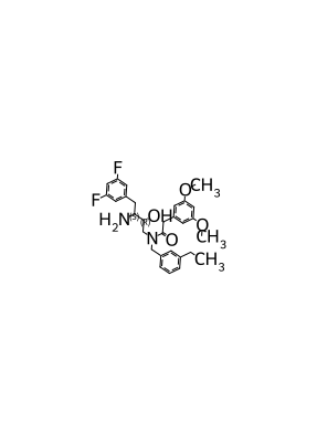 CCc1cccc(CN(C[C@@H](O)[C@@H](N)Cc2cc(F)cc(F)c2)C(=O)Cc2cc(OC)cc(OC)c2)c1